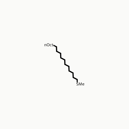 CCCCCCCCCCCCCCCCCCCSC